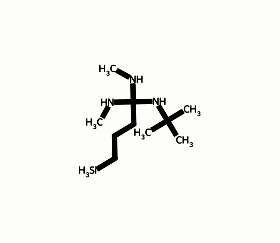 CNC(CCC[SiH3])(NC)NC(C)(C)C